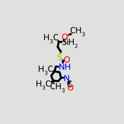 CCO[SiH2]C(C)CCSC(=O)NCC1(C)CC(N=C=O)CC(C)(C)C1